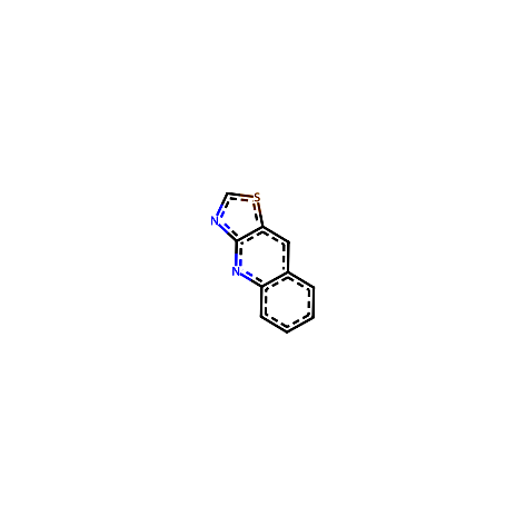 c1ccc2nc3ncsc3cc2c1